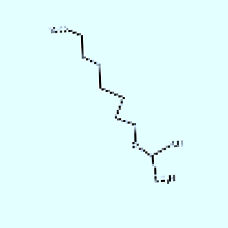 CCCCCCCCCCCCCCCOC(C)C(=O)O